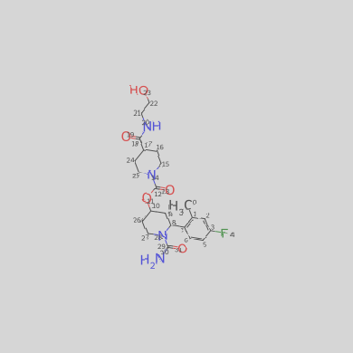 Cc1cc(F)ccc1C1CC(OC(=O)N2CCC(C(=O)NCCO)CC2)CCN1C(N)=O